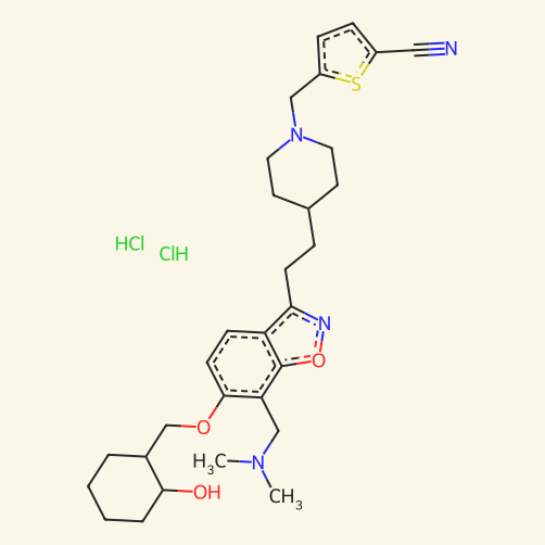 CN(C)Cc1c(OCC2CCCCC2O)ccc2c(CCC3CCN(Cc4ccc(C#N)s4)CC3)noc12.Cl.Cl